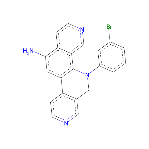 Nc1cc2c(c3cnccc13)N(c1cccc(Br)c1)Cc1cnccc1-2